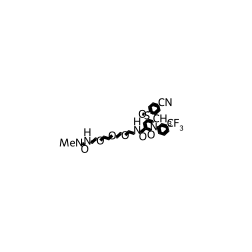 CNC(=O)NCCOCCOCCOCCNC(=O)c1cc([S+]([O-])c2ccc(C#N)cc2)c(C)n(-c2cccc(C(F)(F)F)c2)c1=O